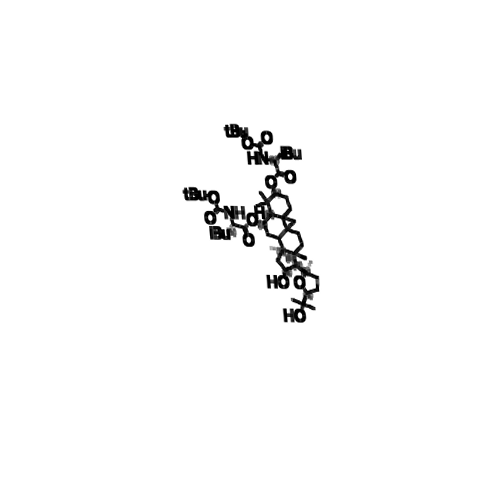 CCC(C)[C@H](NC(=O)OC(C)(C)C)C(=O)O[C@H]1CCC23CC24CC[C@]2(C)[C@@H]([C@@]5(C)CC[C@@H](C(C)(C)O)O5)[C@@H](O)C[C@@]2(C)C4C[C@H](OC(=O)C(NC(=O)OC(C)(C)C)[C@@H](C)CC)[C@H]3C1(C)C